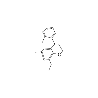 CCc1cc(C)cc2c1OCCC2c1ccccc1C